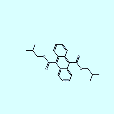 CC(C)COC(=O)c1c2ccccc2c(C(=O)OCC(C)C)c2ccccc12